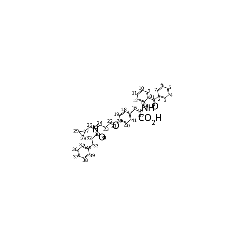 O=C(c1ccccc1)c1ccccc1N[C@@H](Cc1ccc(OCCCN(CC2CC2)C(=O)CCc2ccccc2)cc1)C(=O)O